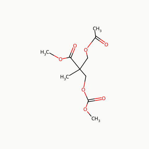 COC(=O)OCC(C)(COC(C)=O)C(=O)OC